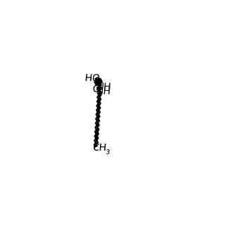 CCCCCCCCCCCCCCCCCCCCCCCCCCNC(=O)Nc1ccc(O)cc1